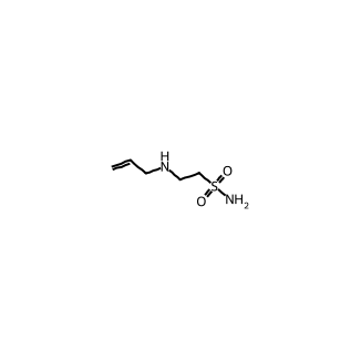 C=CCNCCS(N)(=O)=O